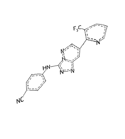 N#Cc1ccc(Nc2nnc3cc(-c4ncccc4C(F)(F)F)cnn23)cc1